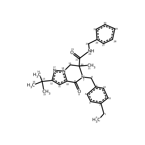 CCc1ccc(CN2C(=O)c3cc(C(C)(C)C)nn3CC2(C)C(=O)NCc2ccccc2)cc1